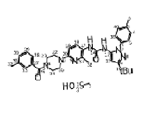 CS(=O)(=O)O.Cc1ccc(-n2nc(C(C)(C)C)cc2NC(=O)Nc2ccc(N3CCN(C(=O)c4cccc(C)c4)CC3)nc2C)cc1